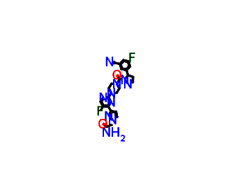 N#Cc1cc(F)cc(C2CC=NN2C(=O)N2CCN(c3ncc(F)c(-c4ccn(CC(N)=O)n4)n3)CC2)c1